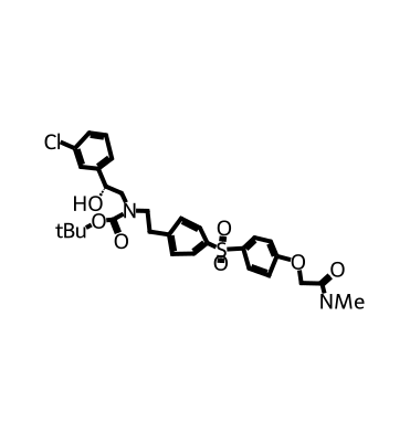 CNC(=O)COc1ccc(S(=O)(=O)c2ccc(CCN(C[C@H](O)c3cccc(Cl)c3)C(=O)OC(C)(C)C)cc2)cc1